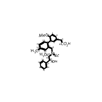 COc1ccc(CC(=O)O)cc1-c1ccc(C)cc1CN(C(C)=O)[C@@H](C)[C@H](O)c1ccccc1